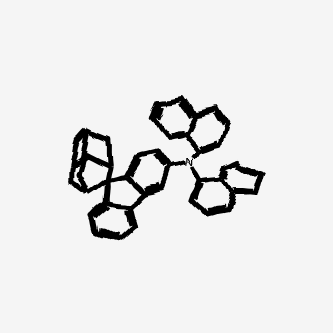 c1ccc2c(c1)-c1cc(N(c3cccc4ccccc34)c3cccc4ccccc34)ccc1C21C2CC3CC(C2)CC1C3